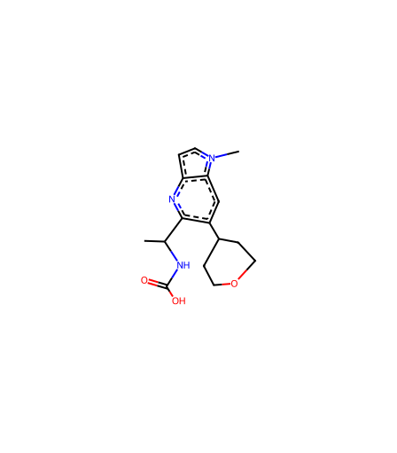 CC(NC(=O)O)c1nc2ccn(C)c2cc1C1CCOCC1